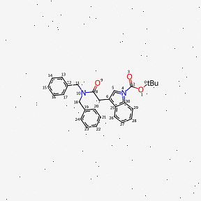 CC(C)(C)OC(=O)n1cc(CC(=O)N(Cc2ccccc2)Cc2ccccc2)c2ccccc21